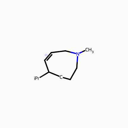 CC(C)C1/C=C\CN(C)CCC1